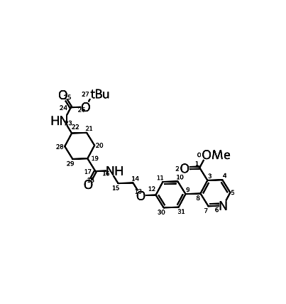 COC(=O)c1ccncc1-c1ccc(OCCNC(=O)C2CCC(NC(=O)OC(C)(C)C)CC2)cc1